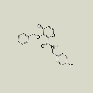 O=C(NCc1ccc(F)cc1)c1occc(=O)c1OCc1ccccc1